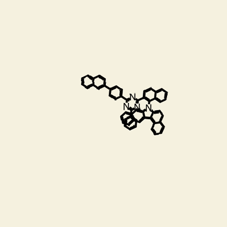 c1ccc(-c2nc(-c3ccc(-c4ccc5ccccc5c4)cc3)nc(-c3ccc4ccccc4c3-n3c4cc5ccccc5cc4c4c5ccccc5ccc43)n2)cc1